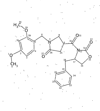 COc1ccc(CN2CC(C(=O)N3C(=O)OCC3Cc3ccccc3)CC2=O)c(OC)c1